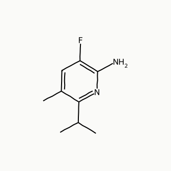 Cc1cc(F)c(N)nc1C(C)C